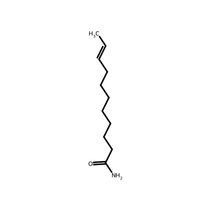 CC=CCCCCCCCC(N)=O